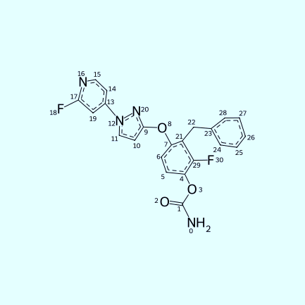 NC(=O)Oc1ccc(Oc2ccn(-c3ccnc(F)c3)n2)c(Cc2ccccc2)c1F